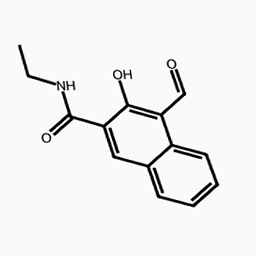 CCNC(=O)c1cc2ccccc2c(C=O)c1O